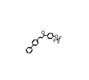 O=C(/C=C/c1ccc(-c2ccccc2)cc1)c1ccc(OC(F)(F)F)cc1